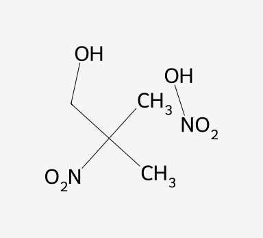 CC(C)(CO)[N+](=O)[O-].O=[N+]([O-])O